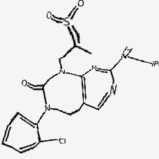 CC(CN1C(=O)N(c2ccccc2Cl)Cc2cnc(NC(C)C)nc21)=S(=O)=O